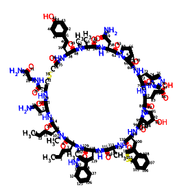 CCCC[C@H]1C(=O)N(C)[C@@H](CCCC)C(=O)N[C@@H](CCN)C(=O)N[C@H](C(=O)NCC(N)=O)CSCC(=O)N[C@@H](CCc2ccc(O)cc2)C(=O)N(C)[C@@H](C)C(=O)N[C@@H](CC(N)=O)C(=O)N2CCC[C@H]2C(=O)N[C@@H](Cc2cnc[nH]2)C(=O)N[C@@H](CCC(=O)O)C(=O)N2C[C@H](O)C[C@H]2C(=O)N[C@@H](Cc2csc3ccccc23)C(=O)N[C@@H](C)C(=O)N[C@@H](Cc2c[nH]c3ccccc23)C(=O)N1C